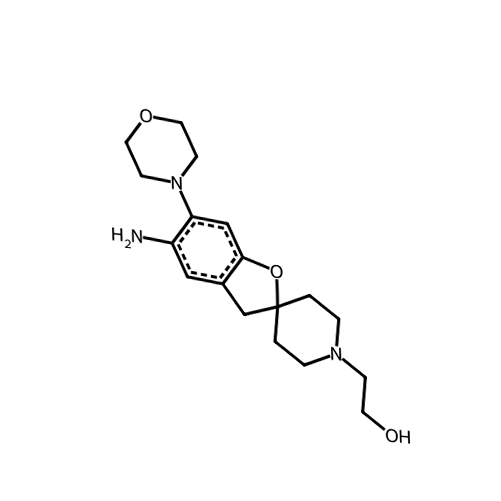 Nc1cc2c(cc1N1CCOCC1)OC1(CCN(CCO)CC1)C2